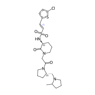 CC1CCCN1C[C@@H]1CCCN1C(=O)CN1CCC[C@H](NS(=O)(=O)/C=C/c2ccc(Cl)s2)C1=O